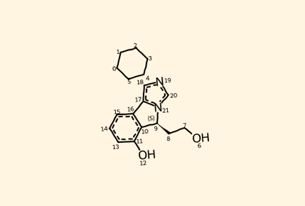 C1CCCCC1.OCC[C@H]1c2c(O)cccc2-c2cncn21